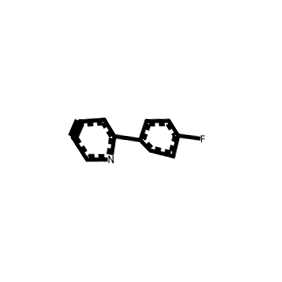 Fc1ccc(-c2cc#ccn2)cc1